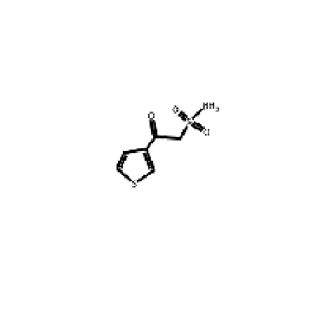 NS(=O)(=O)CC(=O)c1ccsc1